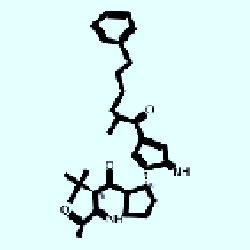 CC(=O)C(=N)[C@H](C(=O)C1CCC[C@H]1C1=CC(C(=O)C(C)CCCCc2ccccc2)=CC1=N)C(C)(C)C